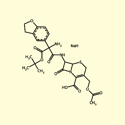 CC(=O)OCC1=C(C(=O)O)N2C(=O)C(NC(=O)C(N)(C(=O)OC(C)(C)C)c3ccc4c(c3)CCO4)C2SC1.[NaH]